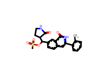 CS(=O)(=O)OC(c1ccc2cc(-c3ccccc3C(F)(F)F)[nH]c(=O)c2c1)C1CCNC1=O